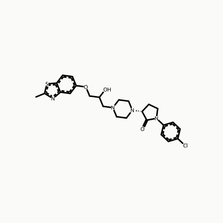 Cc1nc2cc(OCC(O)CN3CCN([C@@H]4CCN(c5ccc(Cl)cc5)C4=O)CC3)ccc2s1